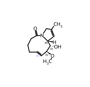 CO[C@H]1/C=C/CCCC(=O)N2CC(C)=C[C@@H]2[C@@H]1O